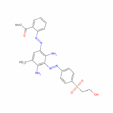 COC(=O)c1ccccc1/N=N/c1cc(S(=O)(=O)O)c(N)c(/N=N/c2ccc(S(=O)(=O)CCO)cc2)c1N